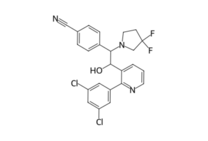 N#Cc1ccc(C(C(O)c2cccnc2-c2cc(Cl)cc(Cl)c2)N2CCC(F)(F)C2)cc1